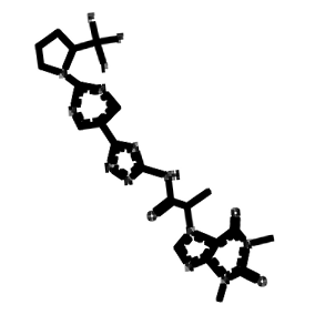 CC(C(=O)Nc1nnc(-c2cnc(N3CCCC3C(F)(F)F)nc2)s1)n1cnc2c1c(=O)n(C)c(=O)n2C